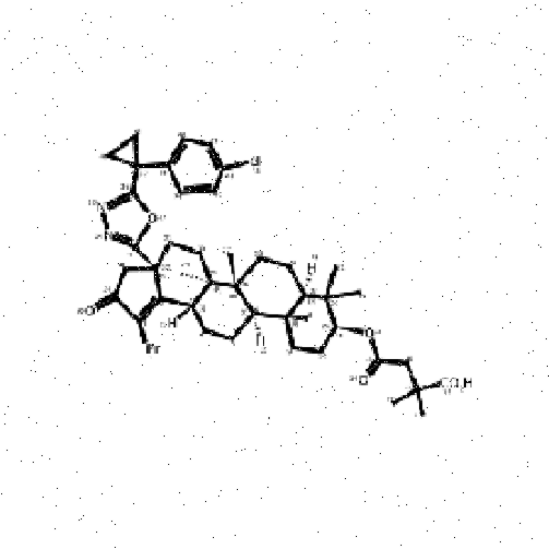 CC(C)C1=C2[C@H]3CC[C@@H]4[C@@]5(C)CC[C@H](OC(=O)CC(C)(C)C(=O)O)C(C)(C)[C@@H]5CC[C@@]4(C)[C@]3(C)CC[C@@]2(c2nnc(C3(c4ccc(Cl)cc4)CC3)o2)CC1=O